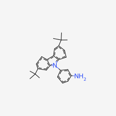 CC(C)(C)c1ccc2c(c1)c1ccc(C(C)(C)C)cc1n2-c1cccc(N)c1